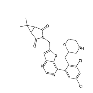 CC1(C)C2C(=O)N(Cc3cc4ncnc(-c5cc(Cl)cc(Cl)c5CC5CNCCO5)c4s3)C(=O)C21